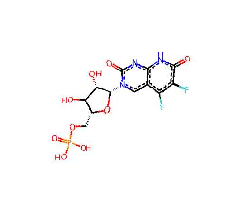 O=c1[nH]c2nc(=O)n([C@@H]3O[C@H](COP(=O)(O)O)C(O)[C@@H]3O)cc2c(F)c1F